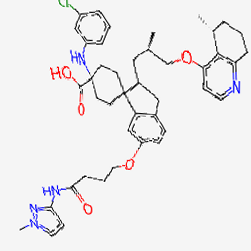 C[C@@H](COc1ccnc2c1[C@H](C)CCC2)CC1Cc2ccc(OCCCC(=O)Nc3ccn(C)n3)cc2C12CCC(Nc1cccc(Cl)c1)(C(=O)O)CC2